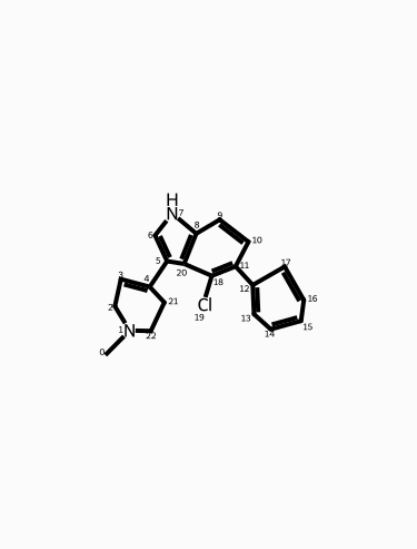 CN1CC=C(c2c[nH]c3ccc(-c4ccccc4)c(Cl)c23)CC1